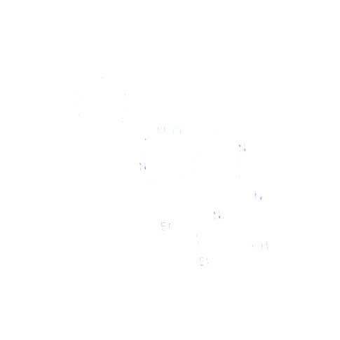 CCC(CC)n1c(O)nc2ncc(Cl)c(/C=N\C(=O)c3ccccc3)c21